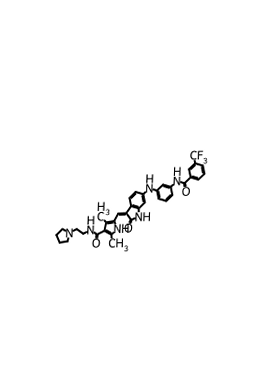 Cc1[nH]c(C=C2C(=O)Nc3cc(Nc4cccc(NC(=O)c5cccc(C(F)(F)F)c5)c4)ccc32)c(C)c1C(=O)NCCN1CCCC1